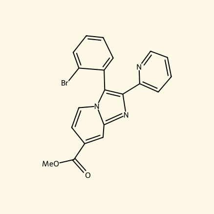 COC(=O)c1ccn2c(-c3ccccc3Br)c(-c3ccccn3)nc2c1